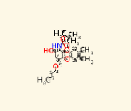 CCCCOC[C@H]1CC(O)C(NC(=O)OC(C)(C)C)[C@@H](OCCCC)C1OCCCC